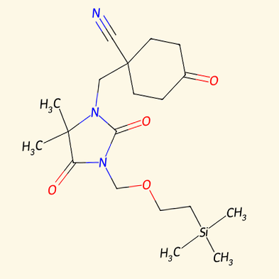 CC1(C)C(=O)N(COCC[Si](C)(C)C)C(=O)N1CC1(C#N)CCC(=O)CC1